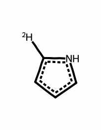 [2H]c1ccc[nH]1